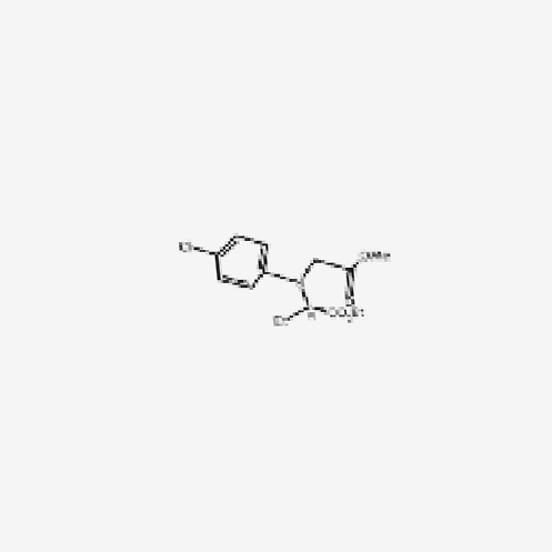 CCOC(=O)[C@@H](CC)N(CC(=O)OC)c1ccc(Cl)cc1